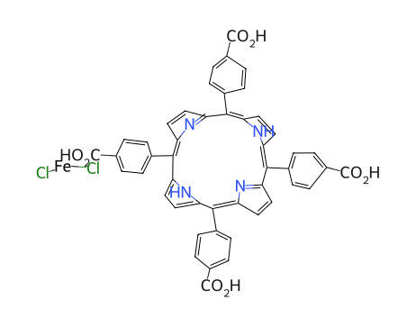 O=C(O)c1ccc(-c2c3nc(c(-c4ccc(C(=O)O)cc4)c4ccc([nH]4)c(-c4ccc(C(=O)O)cc4)c4nc(c(-c5ccc(C(=O)O)cc5)c5ccc2[nH]5)C=C4)C=C3)cc1.[Cl][Fe][Cl]